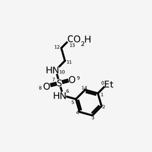 CCc1cccc(NS(=O)(=O)NCCC(=O)O)c1